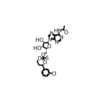 CC(=O)Nc1ncnc2c1ncn2[C@@H]1O[C@H](COP2(=S)OCCC(c3cccc(Cl)c3)O2)[C@H](O)[C@@H]1O